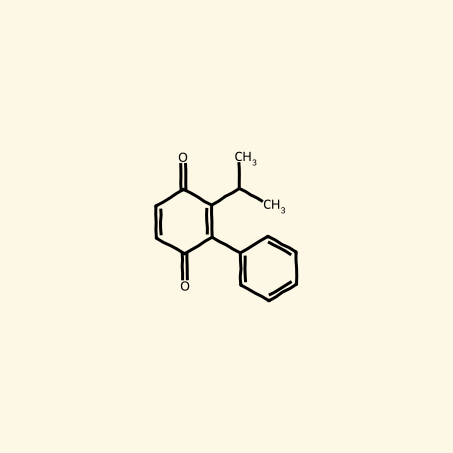 CC(C)C1=C(c2ccccc2)C(=O)C=CC1=O